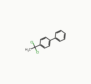 CC(Cl)(Cl)c1ccc(-c2ccccc2)cc1